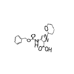 O=C(Nc1cn(C2CCCCO2)nc1C(=O)O)OCc1ccccc1